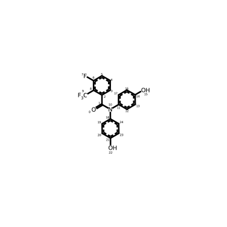 O=C(c1cccc(F)c1C(F)(F)F)N(c1ccc(O)cc1)c1ccc(O)cc1